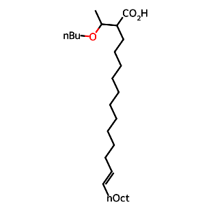 CCCCCCCCC=CCCCCCCCCCCC(C(=O)O)C(C)OCCCC